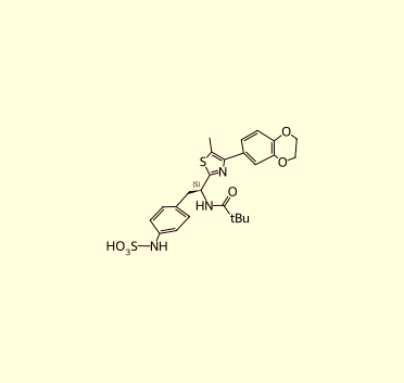 Cc1sc([C@H](Cc2ccc(NS(=O)(=O)O)cc2)NC(=O)C(C)(C)C)nc1-c1ccc2c(c1)OCCO2